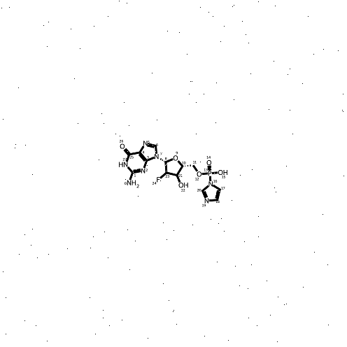 Nc1nc2c(ncn2[C@@H]2O[C@H](COP(=O)(O)n3ccnc3)C(O)C2F)c(=O)[nH]1